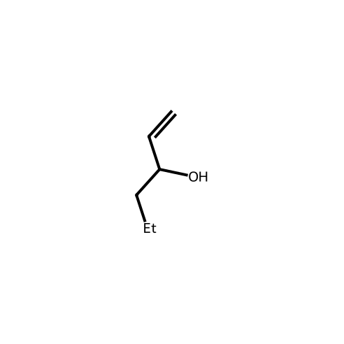 C=CC(O)CCC